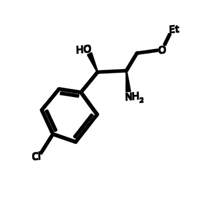 CCOC[C@@H](N)[C@H](O)c1ccc(Cl)cc1